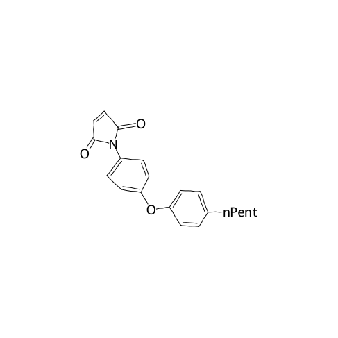 CCCCCc1ccc(Oc2ccc(N3C(=O)C=CC3=O)cc2)cc1